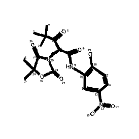 CC(C)(C)C(=O)C(C(=O)Nc1cc([N+](=O)[O-])ccc1Cl)N1C(=O)OC(C)(C)C1=O